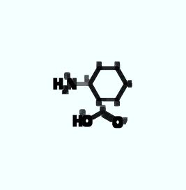 NC1CCCCC1.O=CO